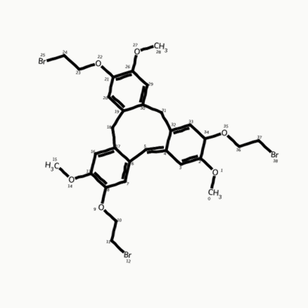 COC1=C/C2=C\c3cc(OCCBr)c(OC)cc3Cc3cc(OCCBr)c(OC)cc3CC2=CC1OCCBr